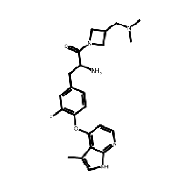 Cc1c[nH]c2nccc(Oc3ccc(CC(N)C(=O)N4CC(CN(C)C)C4)cc3F)c12